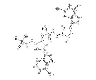 Nc1nc2c(ncn2[C@H]2C[C@H](F)[C@@H](COP(=O)(O)O[C@H]3C[C@H](n4cnc5c(N)ncnc54)O[C@@H]3COP(=O)(O)O)O2)c(=O)[nH]1